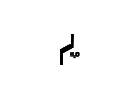 CC=CC.O